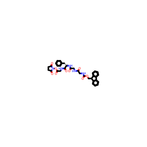 O=C(CNC(=O)OCC1c2ccccc2-c2ccccc21)NCC(=O)N[C@@H](Cc1ccccc1)C(=O)NCC(=O)ON1C(=O)CCC1=O